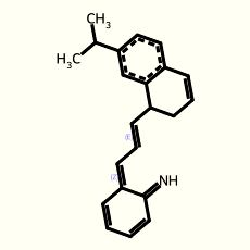 CC(C)c1ccc2c(c1)C(/C=C/C=C1/C=CC=CC1=N)CC=C2